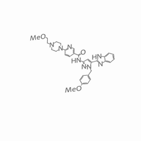 COCCN1CCN(c2ccc(C(=O)Nc3cc(-c4nc5ccccc5[nH]4)n(Cc4ccc(OC)cc4)n3)cn2)CC1